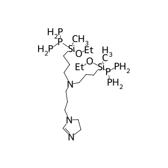 CCO[Si](C)(CCCN(CCCN1C=NCC1)CCC[Si](C)(OCC)P(P)P)P(P)P